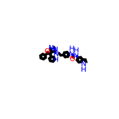 O=C(Nc1ccc(CCNc2ncnc3oc(-c4ccccc4)c(-c4ccccc4)c23)cc1)Nc1ccc2[nH]ccc2c1